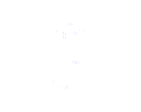 COc1ncccc1-c1ccccc1C(=O)NCC1(c2ccccc2)CCC(N(C)C(=N)NC#N)CC1